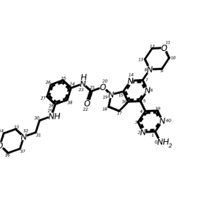 Nc1ncc(-c2nc(N3CCOCC3)nc3c2CCN3OC(=O)Nc2cccc(NCCN3CCOCC3)c2)cn1